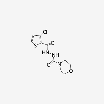 O=C(NNC(=O)N1CCOCC1)c1sccc1Cl